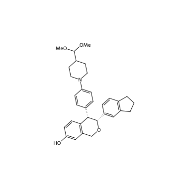 COC(OC)C1CCN(c2ccc([C@H]3c4ccc(O)cc4CO[C@H]3c3ccc4c(c3)CCC4)cc2)CC1